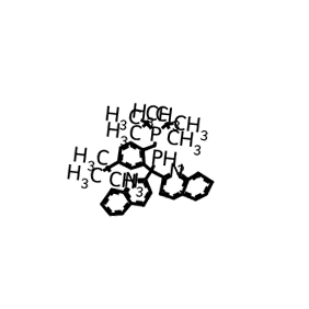 CC(C)(C)c1ccc(CP(C(C)(C)C)C(C)(C)C)c(C(P)(c2ccc3ccccc3n2)c2ccc3ccccc3n2)c1